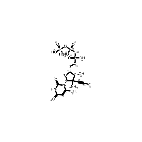 Cc1cc(=O)[nH]c(=O)n1[C@@H]1O[C@H](COP(=O)(O)OP(=O)(O)OP(=O)(O)O)[C@H](O)C1(N)C#CCl